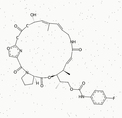 CC1=C\[C@@H](O)CC(=O)Cc2nc(co2)C(=O)N2CCC[C@@H]2C(=O)O[C@H]([C@@H](C)COC(=O)Nc2ccc(F)cc2)[C@H](C)/C=C/C(=O)NC\C=C\1